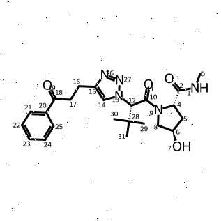 CNC(=O)[C@@H]1C[C@@H](O)CN1C(=O)[C@@H](n1cc(CCC(=O)c2ccccc2)nn1)C(C)(C)C